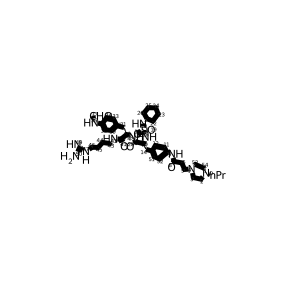 CCCN1CCN(CCC(=O)Nc2ccc(C[C@@H](NS(=O)(=O)NC3CCCCC3)C(=O)N[C@@H](Cc3ccc(NC=O)cc3)C(=O)NCCCCNC(=N)N)cc2)CC1